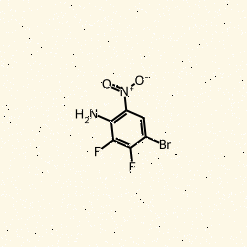 Nc1c([N+](=O)[O-])cc(Br)c(F)c1F